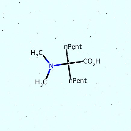 CCCCCC(CCCCC)(C(=O)O)N(C)C